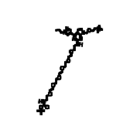 CCCn1cc(-c2nc(NCCOCCOCCOCCOCCOCCOCCNC(=O)OC(C)(C)C)nc3c2ccn3COCC[Si](C)(C)C)cn1